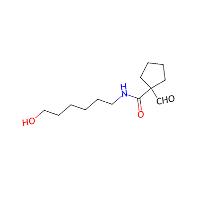 O=CC1(C(=O)NCCCCCCO)CCCC1